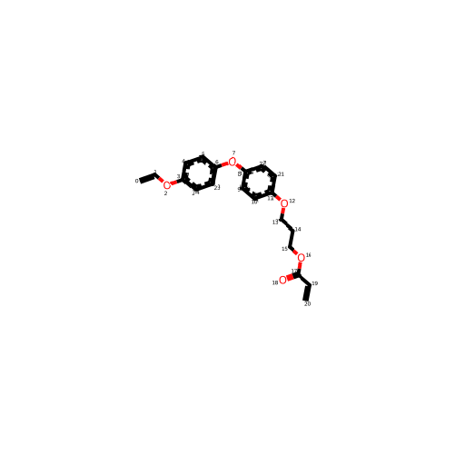 C=COc1ccc(Oc2ccc(OCCCOC(=O)C=C)cc2)cc1